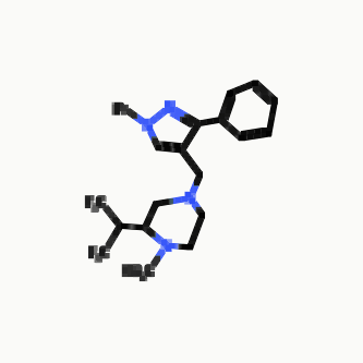 CC(C)n1cc(CN2CCN(C(=O)O)C(C(C(F)(F)F)C(F)(F)F)C2)c(-c2ccccc2)n1